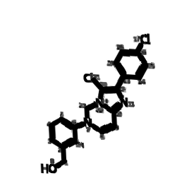 OCc1cccc(N2C=CC3=NC(c4ccc(Cl)cc4)=C(Cl)[N+]3C2)c1